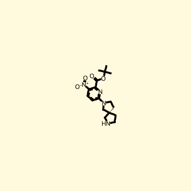 CC(C)(C)OC(=O)c1nc(N2CC[C@@]3(CCNC3)C2)ccc1[N+](=O)[O-]